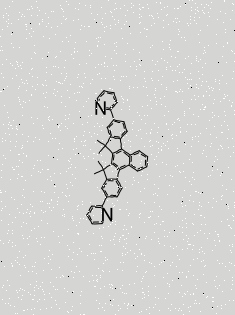 CC1(C)c2cc(-c3ccccn3)ccc2-c2c1c1c(c3ccccc23)-c2ccc(-c3ccccn3)cc2C1(C)C